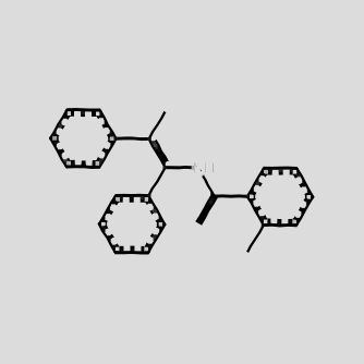 C=C(N/C(=C(\C)c1ccccc1)c1ccccc1)c1ccccc1C